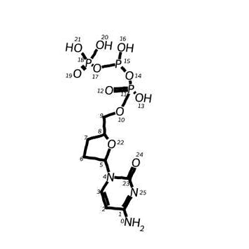 Nc1ccn(C2CCC(COP(=O)(O)OP(O)OP(=O)(O)O)O2)c(=O)n1